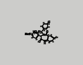 CSc1ccc(C2C(=O)Nc3ccc(I)cc3C(=O)N2C(C(=O)O)c2ccc(Cl)cc2)cc1